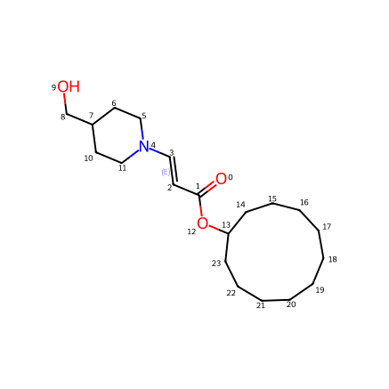 O=C(/C=C/N1CCC(CO)CC1)OC1CCCCCCCCCC1